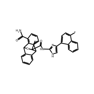 CC1(C(=O)Nc2nc(-c3ccc(F)c4ccccc34)c[nH]2)CC2c3ccccc3C1c1cccc(C(N)=O)c12